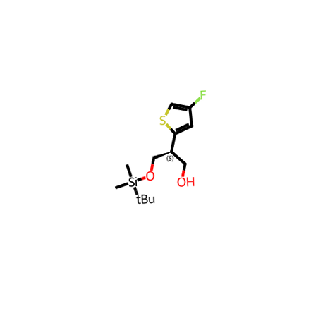 CC(C)(C)[Si](C)(C)OC[C@H](CO)c1cc(F)cs1